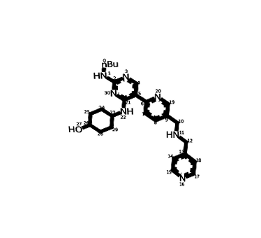 CCCCNc1ncc(-c2ccc(CNCc3ccncc3)cn2)c(NC2CCC(O)CC2)n1